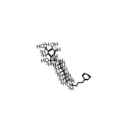 [2H]c1c([2H])c(C([2H])(O)C([2H])([2H])NC([2H])([2H])C([2H])([2H])C([2H])([2H])C([2H])([2H])C([2H])([2H])C([2H])([2H])OC([2H])([2H])CCCc2ccccc2)c([2H])c(C([2H])([2H])O)c1O